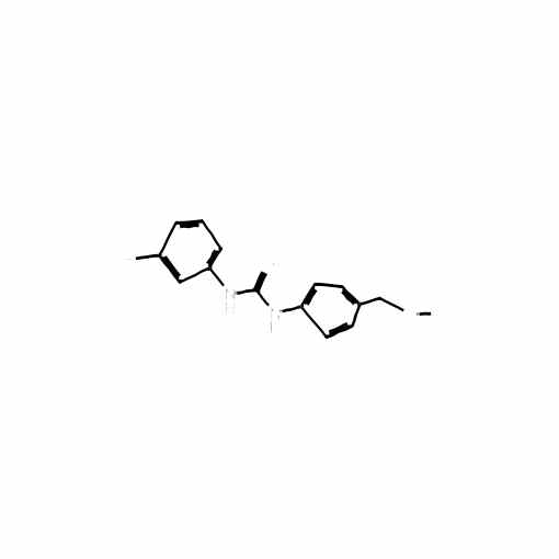 COCc1ccc(NC(=O)Nc2cccc(F)c2)cc1